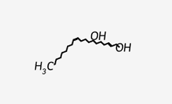 CCCCCCCC/C=C\CCCC(O)CCCC=CCO